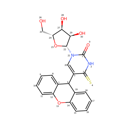 O=c1[nH]c(=S)c(C2c3ccccc3Oc3ccccc32)cn1[C@@H]1O[C@H](CO)[C@@H](O)[C@H]1O